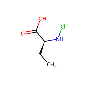 CC[C@H](NCl)C(=O)O